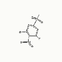 CS(=O)(=O)c1cc(F)c([SH](=O)=O)c(Cl)c1